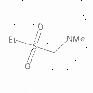 CCS(=O)(=O)CNC